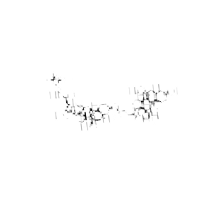 C[C@H](CCC(=O)O[C@@H]1CC[C@@]2(C)[C@@H](C1)C[C@H](O)[C@@H]1[C@@H]2C[C@H](O)[C@]2(C)[C@@H]([C@H](C)CCC(=O)NCCS(C)(=O)=O)CC[C@@H]12)[C@H]1CC[C@H]2[C@@H]3[C@H](O)C[C@@H]4C[C@H](O)CC[C@]4(C)[C@H]3C[C@H](O)[C@]12C